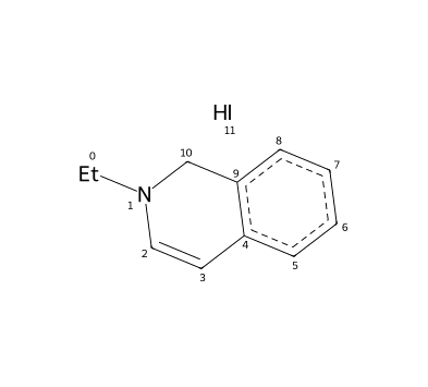 CCN1C=Cc2ccccc2C1.I